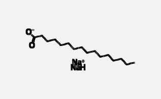 CCCCCCCCCCCCCCCC(=O)[O-].[Na+].[NaH]